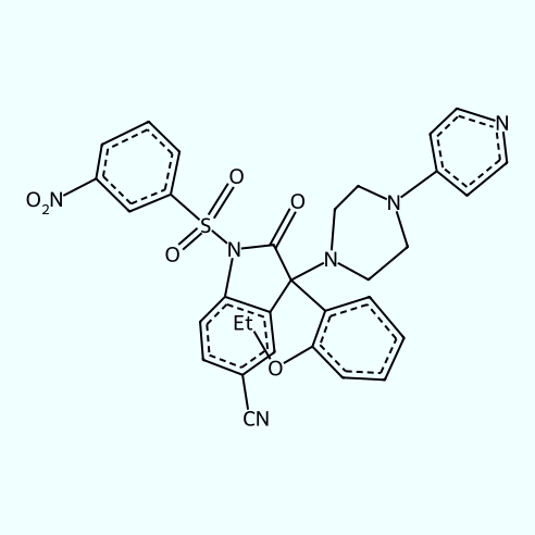 CCOc1ccccc1C1(N2CCN(c3ccncc3)CC2)C(=O)N(S(=O)(=O)c2cccc([N+](=O)[O-])c2)c2ccc(C#N)cc21